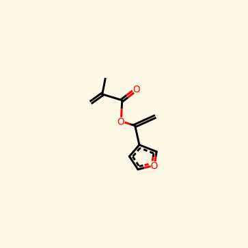 C=C(C)C(=O)OC(=C)c1ccoc1